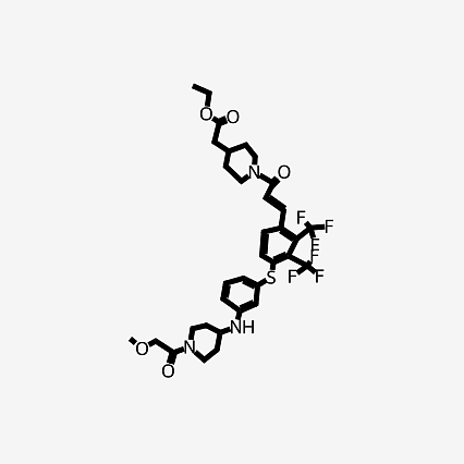 CCOC(=O)CC1CCN(C(=O)C=Cc2ccc(Sc3cccc(NC4CCN(C(=O)COC)CC4)c3)c(C(F)(F)F)c2C(F)(F)F)CC1